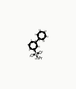 CCCS(=O)(=O)c1cccc(-c2ccccc2)c1